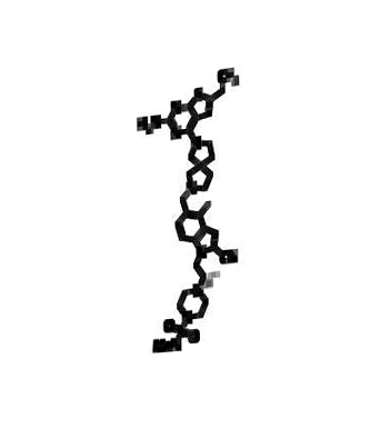 CNS(=O)(=O)N1CCN([C@@H](C)Cn2c(C#N)cc3c(C)c(CN4CCC5(CCN(c6nc(N)nc7sc(CC(F)(F)F)cc67)C5)C4)ccc32)CC1